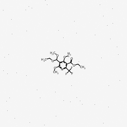 CCOC(=O)c1c(C(F)(F)F)nc(OC)c(C(OC)OCC)c1OC